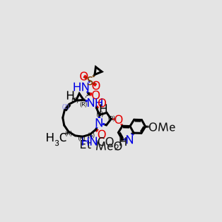 CC[C@@H]1C[C@H](C)CC/C=C\[C@@H]2C[C@@]2(C(=O)NS(=O)(=O)C2CC2)NC(=O)[C@@H]2C[C@@H](Oc3cc(OC)nc4cc(OC)ccc34)CN2C(=O)[C@H]1NC(=O)O